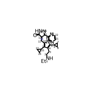 CCNCCc1c(C2CC2)[nH]c(/C=C2/C(=O)NN=C2c2cnccn2)c1C1CC1